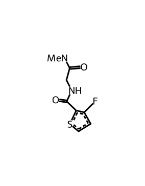 CNC(=O)CNC(=O)c1sccc1F